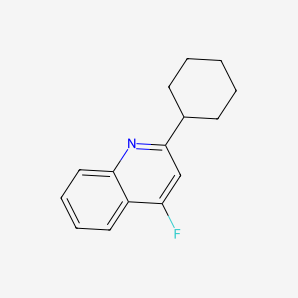 Fc1cc(C2CCCCC2)nc2ccccc12